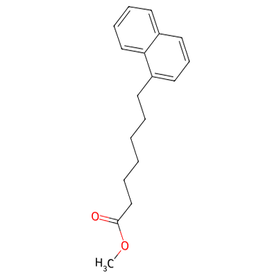 COC(=O)CCCCCCc1cccc2ccccc12